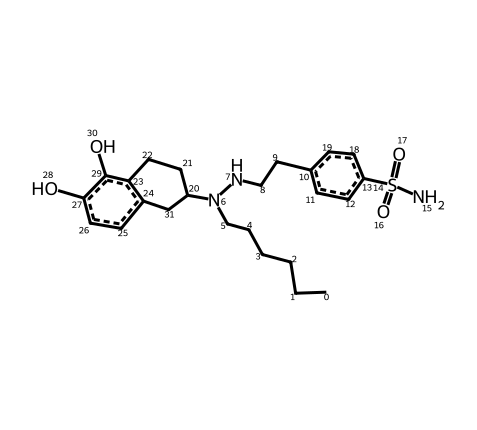 CCCCCCN(NCCc1ccc(S(N)(=O)=O)cc1)C1CCc2c(ccc(O)c2O)C1